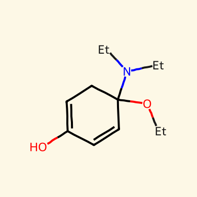 CCOC1(N(CC)CC)C=CC(O)=CC1